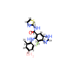 Bc1ccc(Nc2c(C(=O)Nc3nccs3)cc3[nH]cnc3c2F)c(C)c1